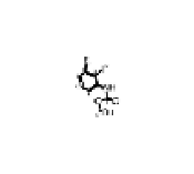 CC(C)(C)OC(=O)Nc1cncc(F)c1I